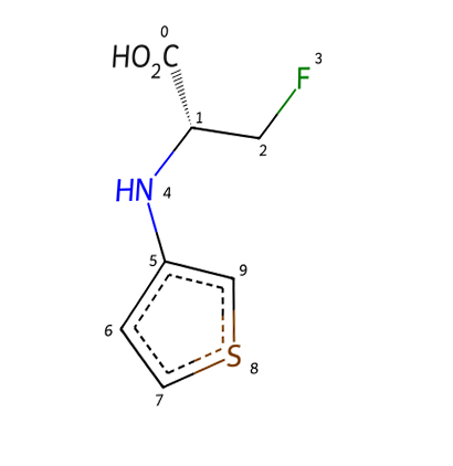 O=C(O)[C@H](CF)Nc1ccsc1